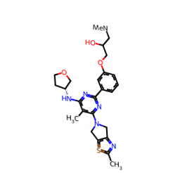 CNCC(O)COc1cccc(-c2nc(N[C@@H]3CCOC3)c(C)c(N3Cc4nc(C)sc4C3)n2)c1